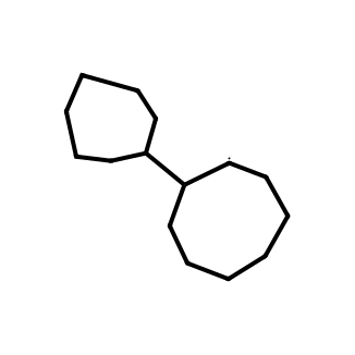 [CH]1CCCCCCC1C1CCCCCC1